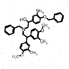 COc1ccc(C(CN(Cc2ccccc2)CC(O)c2ccc(OCc3ccccc3)c(N)c2)c2ccc(OC)c(C)c2)cc1C